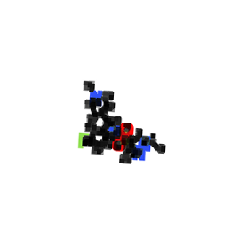 CCn1cc(S(=O)(=O)n2cc(C3=CCN(C)CC3)c3cc(F)ccc32)c(C)n1